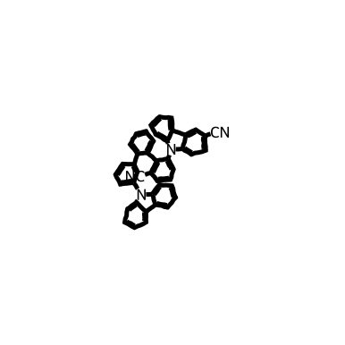 N#Cc1ccc2c(c1)c1ccccc1n2-c1cccc(C#N)c1-c1ccccc1-c1cccc(-n2c3ccccc3c3ccccc32)c1